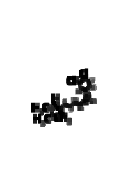 CC(C)C(C)NC(=S)C=CC=C[C@@H]1C[C@H]1c1ccc(Cl)c(Cl)c1